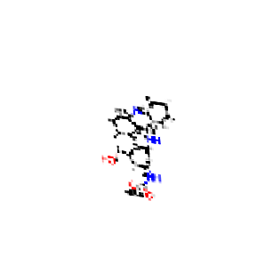 CC(C)(C)OC(=O)Nc1cc(CO)cc(Nc2c3ccccc3nc3ccccc23)c1